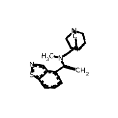 C=C(c1cccc2sncc12)N(C)C1CN2CCC1CC2